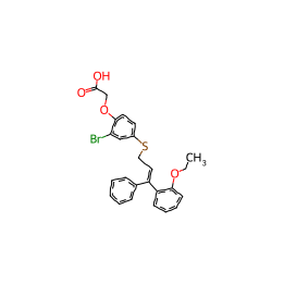 CCOc1ccccc1C(=CCSc1ccc(OCC(=O)O)c(Br)c1)c1ccccc1